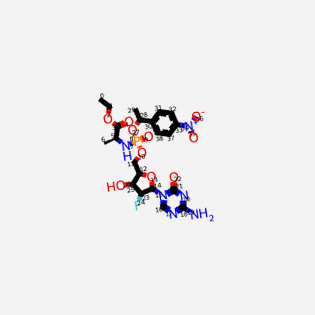 CCOC(=O)[C@H](C)NP(=O)(OCC1OC(n2cnc(N)nc2=O)C(F)C1O)OC(C)c1ccc([N+](=O)[O-])cc1